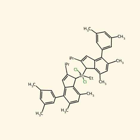 C[CH2][Zr]([Cl])([Cl])([CH]1C(C(C)C)=Cc2c(-c3cc(C)cc(C)c3)c(C)cc(C)c21)[CH]1C(C(C)C)=Cc2c(-c3cc(C)cc(C)c3)c(C)cc(C)c21